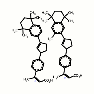 C/C(=C/C(=O)O)c1ccc(C2C=C(c3cc4c(cc3C)C(C)(C)CCC4(C)C)CC2)cc1.C/C(=C/C(=O)O)c1ccc(C2C=C(c3ccc4c(c3)C(C)(C)CCC4(C)C)CC2)cc1